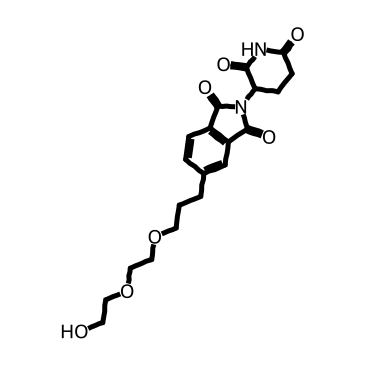 O=C1CCC(N2C(=O)c3ccc(CCCOCCOCCO)cc3C2=O)C(=O)N1